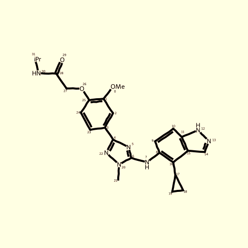 COc1cc(-c2nc(Nc3ccc4[nH]ncc4c3C3CC3)n(C)n2)ccc1OCC(=O)NC(C)C